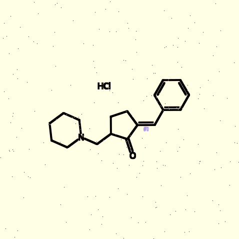 Cl.O=C1/C(=C/c2ccccc2)CCC1CN1CCCCC1